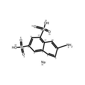 Nc1ccc2cc(S(=O)(=O)O)cc(S(=O)(=O)O)c2c1.[Na]